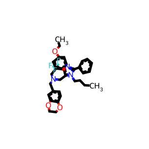 CCCCn1c(-c2ccccc2)nc(C(F)(F)F)c1CN(Cc1cccc(OCC)c1)Cc1ccc2c(c1)OCCO2